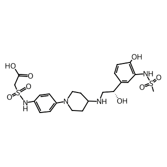 CS(=O)(=O)Nc1cc([C@H](O)CNC2CCN(c3ccc(NS(=O)(=O)CC(=O)O)cc3)CC2)ccc1O